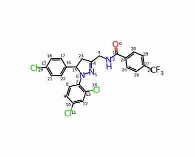 O=C(NCC1=NN(c2ccc(Cl)cc2Cl)C(c2ccc(Cl)cc2)C1)c1ccc(C(F)(F)F)cc1